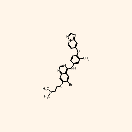 Cc1cc(Nc2ncnc3cc(OCCN(C)C)c(Br)cc23)ccc1Oc1ccn2ncnc2c1